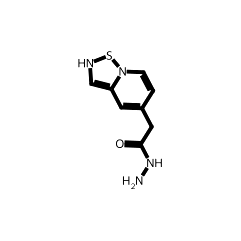 NNC(=O)CC1=CC2=CNSN2C=C1